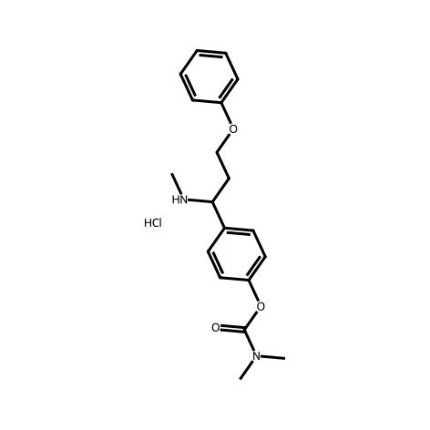 CNC(CCOc1ccccc1)c1ccc(OC(=O)N(C)C)cc1.Cl